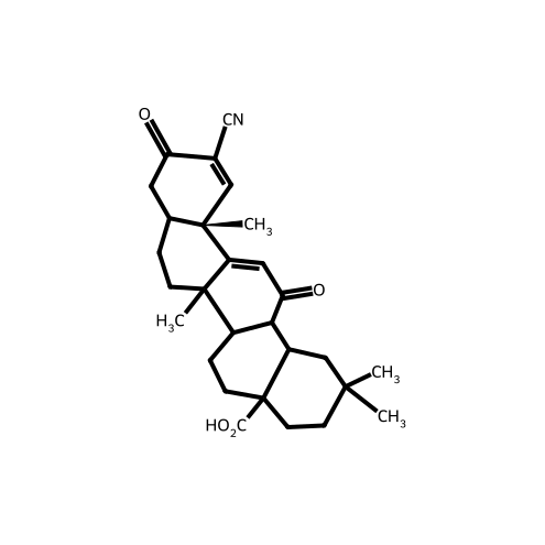 CC1(C)CCC2(C(=O)O)CCC3C(C(=O)C=C4C3(C)CCC3CC(=O)C(C#N)=C[C@]43C)C2C1